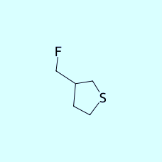 FCC1CCSC1